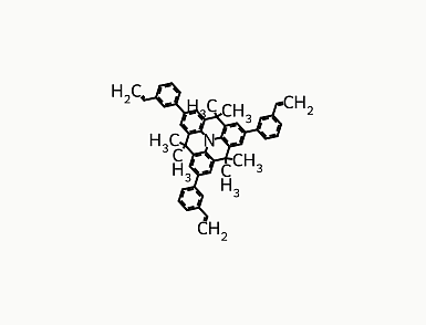 C=Cc1cccc(-c2cc3c4c(c2)C(C)(C)c2cc(-c5cccc(C=C)c5)cc5c2N4c2c(cc(-c4cccc(C=C)c4)cc2C5(C)C)C3(C)C)c1